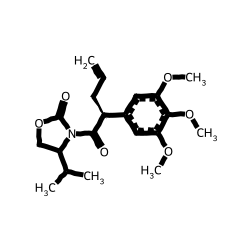 C=CC[C@H](C(=O)N1C(=O)OCC1C(C)C)c1cc(OC)c(OC)c(OC)c1